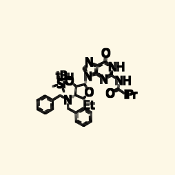 CC[C@H]1O[C@@H](n2cnc3c(=O)[nH]c(NC(=O)C(C)C)nc32)C(O[Si](C)(C)C(C)(C)C)[C@H]1N(Cc1ccccc1)Cc1ccccc1